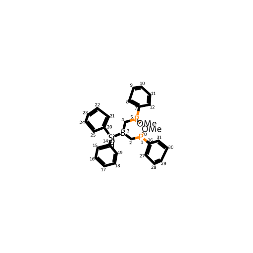 COP(CB(CP(OC)c1ccccc1)[SiH](c1ccccc1)c1ccccc1)c1ccccc1